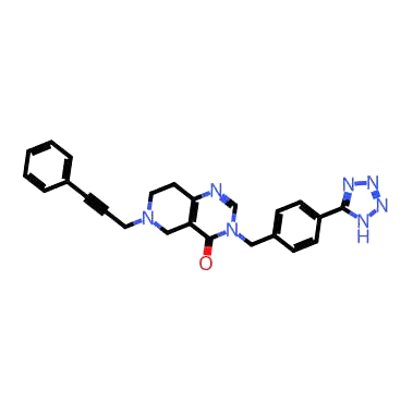 O=c1c2c(ncn1Cc1ccc(-c3nnn[nH]3)cc1)CCN(CC#Cc1ccccc1)C2